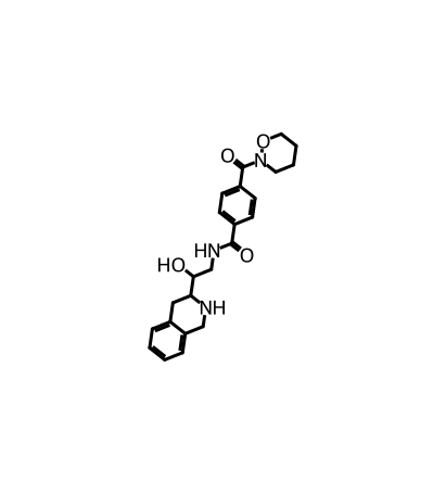 O=C(NCC(O)C1Cc2ccccc2CN1)c1ccc(C(=O)N2CCCCO2)cc1